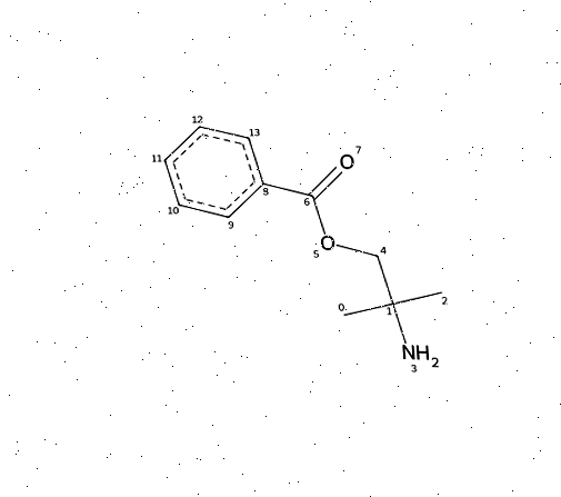 CC(C)(N)COC(=O)c1ccccc1